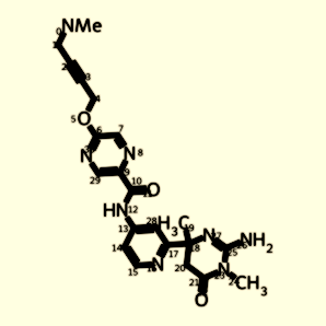 CNCC#CCOc1cnc(C(=O)Nc2ccnc(C3(C)CC(=O)N(C)C(N)=N3)c2)cn1